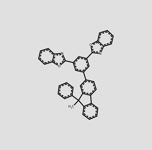 CC1(c2ccccc2)c2ccccc2-c2ccc(-c3cc(-c4nc5ccccc5o4)cc(-c4nc5ccccc5o4)c3)cc21